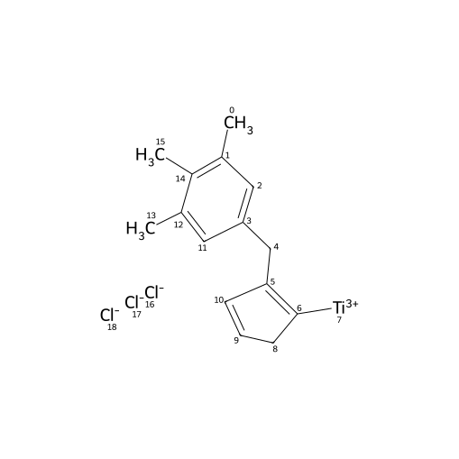 Cc1cc(CC2=[C]([Ti+3])CC=C2)cc(C)c1C.[Cl-].[Cl-].[Cl-]